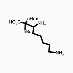 CCCCCCC(CCCC)(C(=O)O)C(N)CCCCCN